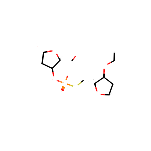 B[C@H]1CC(OCC)[C@@H](CSP(=O)(O)OC2C[C@H](B)O[C@@H]2CO)O1